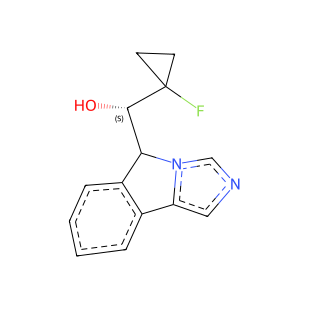 O[C@@H](C1c2ccccc2-c2cncn21)C1(F)CC1